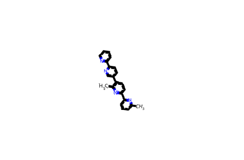 Cc1cccc(-c2ccc(-c3ccc(-c4ccccn4)nc3)c(C)n2)n1